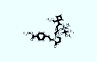 CCC1(C(CCCN2CCC(=O)N2CCc2ccc(C(=O)OC)cc2)O[Si](C)(C)C(C)(C)C)CCC1